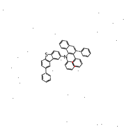 c1ccc(-c2ccc3sc4ccc(N(c5ccccc5)c5c(-c6ccccc6)c(-c6ccccc6)cc6ccccc56)cc4c3c2)cc1